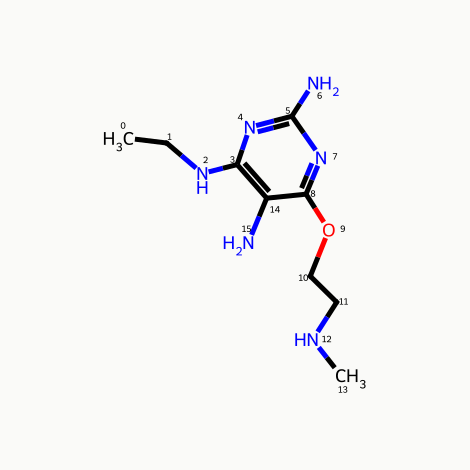 CCNc1nc(N)nc(OCCNC)c1N